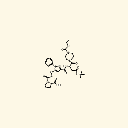 CCOC(=O)N1CCN(C(=O)C(CC(=O)OC(C)(C)C)NC(=O)c2cc(OCC(=O)N3CCCC3C(=O)O)n(-c3ccccc3)n2)CC1